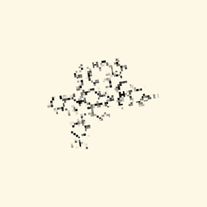 CN1CCN(C[C@@H]2Cc3ccccc3CN2C(=O)c2cc3c(cc2-c2cc(C(=O)N(c4ccc(O)cc4)c4ccc5c(ccn5C)c4)c4n2CCCC4)OCO3)CC1